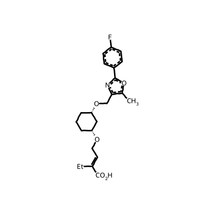 CC/C(=C\CO[C@@H]1CCC[C@H](OCc2nc(-c3ccc(F)cc3)oc2C)C1)C(=O)O